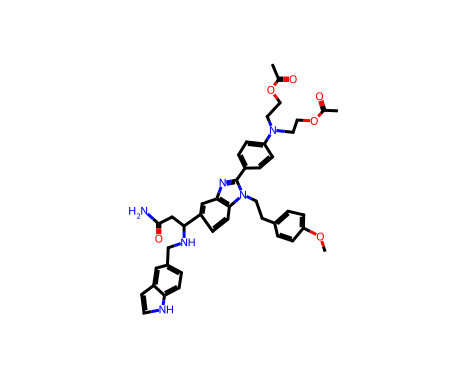 COc1ccc(CCn2c(-c3ccc(N(CCOC(C)=O)CCOC(C)=O)cc3)nc3cc(C(CC(N)=O)NCc4ccc5[nH]ccc5c4)ccc32)cc1